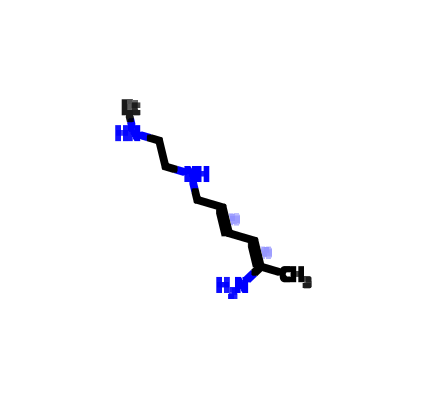 CCNCCNC/C=C/C=C(/C)N